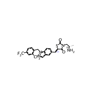 C[C@H](N)CN1C(=O)S/C(=C\c2ccc3c(cnn3Cc3ccc(C(F)(F)F)cc3C(F)(F)F)c2)C1=O